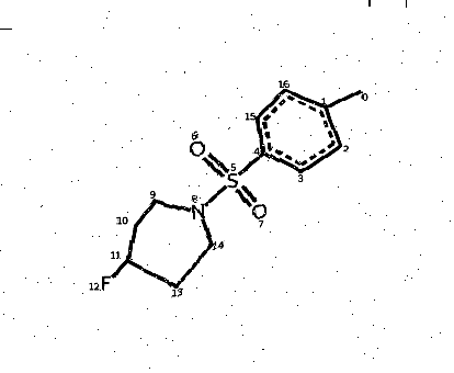 Cc1ccc(S(=O)(=O)N2CCC(F)CC2)cc1